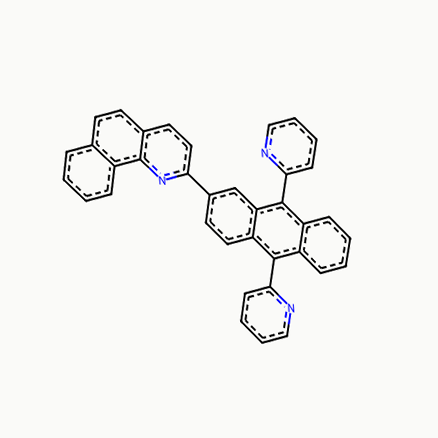 c1ccc(-c2c3ccccc3c(-c3ccccn3)c3cc(-c4ccc5ccc6ccccc6c5n4)ccc23)nc1